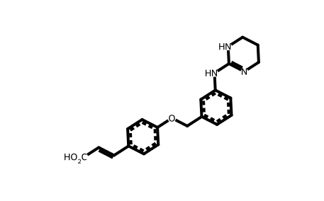 O=C(O)/C=C/c1ccc(OCc2cccc(NC3=NCCCN3)c2)cc1